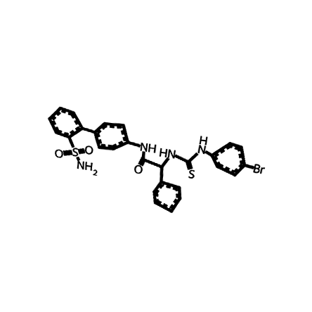 NS(=O)(=O)c1ccccc1-c1ccc(NC(=O)C(NC(=S)Nc2ccc(Br)cc2)c2ccccc2)cc1